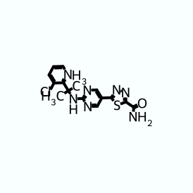 CC(C)(Nc1ncc(-c2nnc(C(N)=O)s2)cn1)c1ncccc1Cl